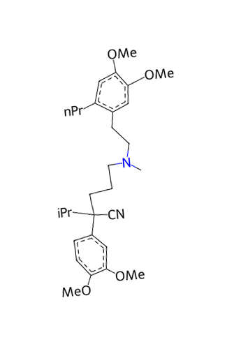 CCCc1cc(OC)c(OC)cc1CCN(C)CCCC(C#N)(c1ccc(OC)c(OC)c1)C(C)C